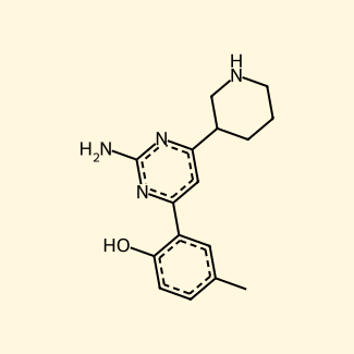 Cc1ccc(O)c(-c2cc(C3CCCNC3)nc(N)n2)c1